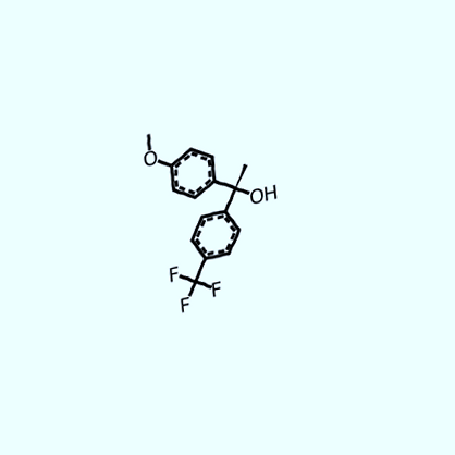 COc1ccc([C@](C)(O)c2ccc(C(F)(F)F)cc2)cc1